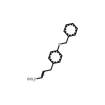 CCOC(=O)/C=C/Cc1ccc(OCc2ccccc2)cc1